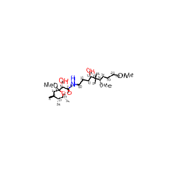 C=C1C[C@](OC)([C@H](O)C(=O)NCCC[C@@H](O)C(C)(C)[C@@H](CCCOC)OC)O[C@H](C)[C@@H]1C